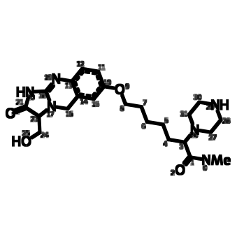 CNC(=O)C(CCCCCOc1ccc2c(c1)CN1C(=N2)NC(=O)C1CO)N1CCNCC1